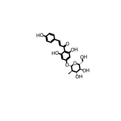 C[C@H]1[C@H](Oc2cc(O)c(C(=O)/C=C/c3ccc(O)cc3)c(O)c2)O[C@H](CO)[C@@H](O)[C@@H]1O